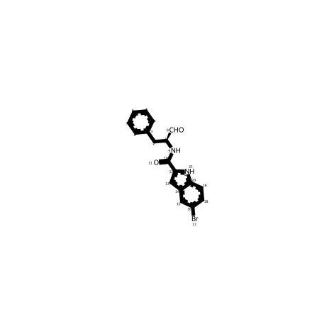 O=C[C@H](Cc1ccccc1)NC(=O)c1cc2cc(Br)ccc2[nH]1